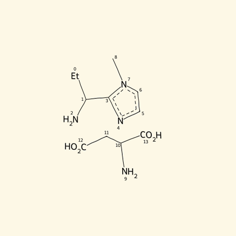 CCC(N)c1nccn1C.NC(CC(=O)O)C(=O)O